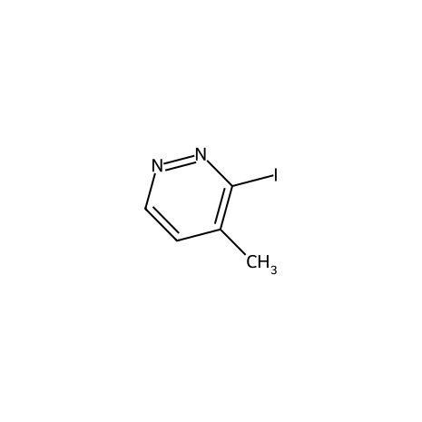 Cc1ccnnc1I